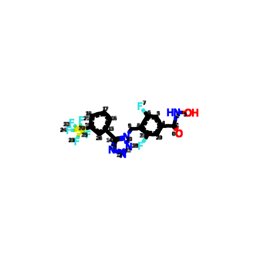 O=C(NO)c1cc(F)c(Cn2nnnc2-c2cccc(S(F)(F)(F)(F)F)c2)c(F)c1